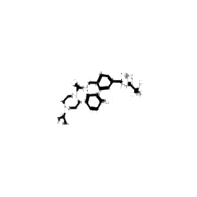 O=C(N1CCN(C2COC2)CC1)N(Cc1ccc(-c2nnc(C(F)(F)F)o2)cc1)c1cccc(Cl)c1